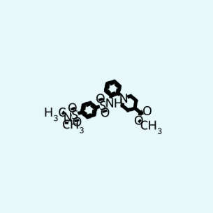 COC(=O)C1CCN(c2ccccc2NS(=O)(=O)c2ccc(S(=O)(=O)N(C)C)cc2)CC1